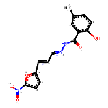 Cc1ccc(O)c(C(=O)N/N=C/C=C/c2ccc([N+](=O)[O-])o2)c1